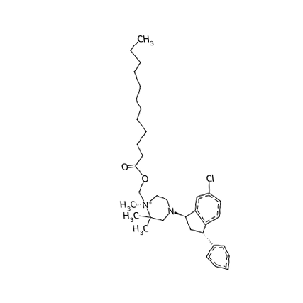 CCCCCCCCCCCC(=O)OC[N@@+]1(C)CCN([C@@H]2C[C@@H](c3ccccc3)c3ccc(Cl)cc32)CC1(C)C